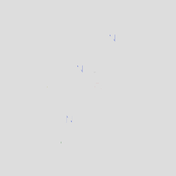 Cn1cc(C(=O)N2CCc3ccsc3C2Cc2cccc(Cl)n2)c2ccccc21